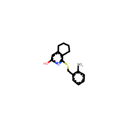 O=[N+]([O-])c1ccccc1CSc1nc(O)cc2c1CCCC2